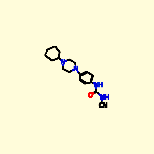 N#CNC(=O)Nc1ccc(N2CCN(C3CCCCC3)CC2)cc1